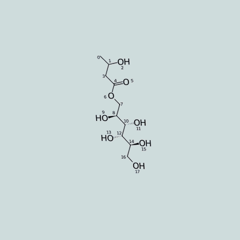 CC(O)CC(=O)OC[C@H](O)[C@H](O)[C@@H](O)[C@@H](O)CO